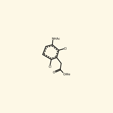 COC(=O)Cc1c(Cl)ccc(NC(C)=O)c1Cl